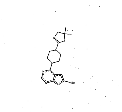 CCCCc1cc2c(N3CCN(C4=NCC(C)(C)S4)CC3)ncnc2s1